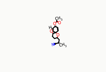 CC(=O)O[C@@H]1C=CC23C[C@H]1OC2CCC(C[C@@H](C)C#N)O3